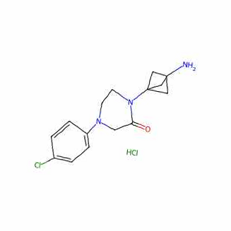 Cl.NC12CC(N3CCN(c4ccc(Cl)cc4)CC3=O)(C1)C2